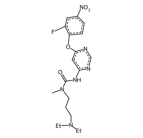 CCN(CC)CCCN(C)C(=O)Nc1cc(Oc2ccc([N+](=O)[O-])cc2F)ncn1